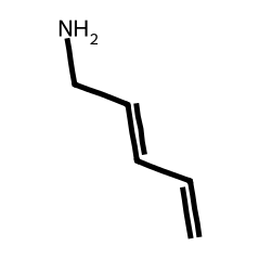 C=C/C=C/CN